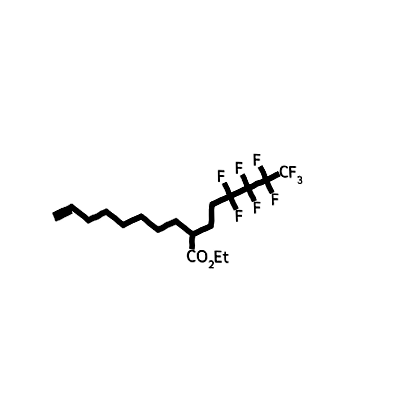 C=CCCCCCCC(CCC(F)(F)C(F)(F)C(F)(F)C(F)(F)F)C(=O)OCC